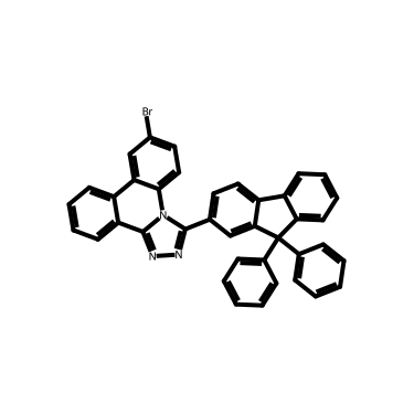 Brc1ccc2c(c1)c1ccccc1c1nnc(-c3ccc4c(c3)C(c3ccccc3)(c3ccccc3)c3ccccc3-4)n21